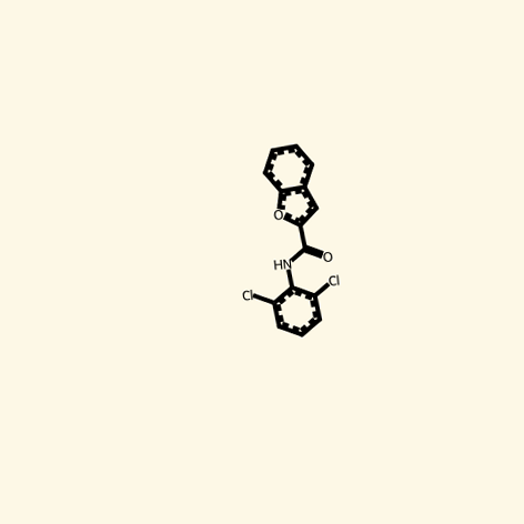 O=C(Nc1c(Cl)cccc1Cl)c1cc2ccccc2o1